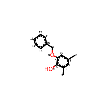 Cc1cc(C)c(O)c(OCc2ccccc2)c1